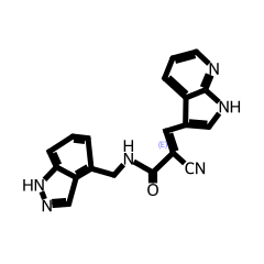 N#C/C(=C\c1c[nH]c2ncccc12)C(=O)NCc1cccc2[nH]ncc12